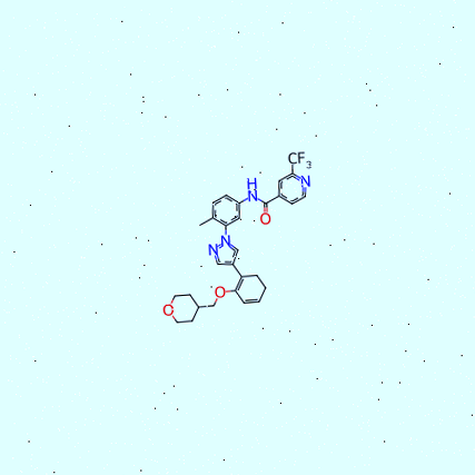 Cc1ccc(NC(=O)c2ccnc(C(F)(F)F)c2)cc1-n1cc(C2=C(OCC3CCOCC3)C=CCC2)cn1